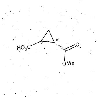 COC(=O)[C@H]1CC1C(=O)O